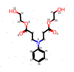 O=C(CCN(CCC(=O)OCCO)c1ccccc1)OCCO